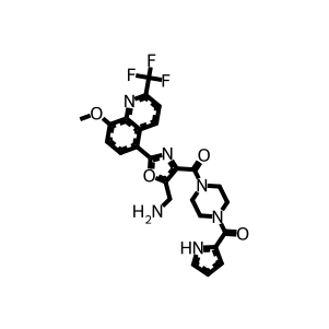 COc1ccc(-c2nc(C(=O)N3CCN(C(=O)c4ccc[nH]4)CC3)c(CN)o2)c2ccc(C(F)(F)F)nc12